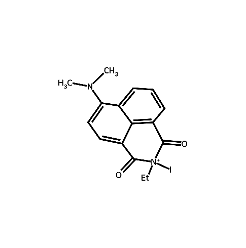 CC[N+]1(I)C(=O)c2cccc3c(N(C)C)ccc(c23)C1=O